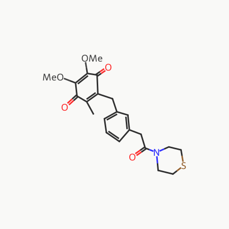 COC1=C(OC)C(=O)C(Cc2cccc(CC(=O)N3CCSCC3)c2)=C(C)C1=O